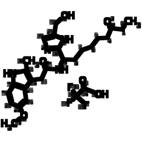 CCC(=O)CCCCCC(NC(=O)Cc1c(C)[nH]c2ccc(OC)cc12)c1ncc(CO)[nH]1.O=C(O)C(F)(F)F